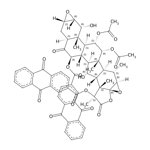 CC(=O)O[C@H]1[C@H]2[C@H]([C@@H]3[C@@H](O)[C@@H]4[C@H]([C@H](C)[C@H]5O[C@]56OC(=O)[C@@](C)(OC(=O)c5ccc7c(c5)C(=O)c5ccccc5C7=O)[C@]46C)[C@@]3(C)[C@H]1OC(C)=O)[C@@H](OC(=O)c1ccc3c(c1)C(=O)c1ccccc1C3=O)C(=O)[C@H]1C[C@@H]3O[C@@H]3[C@H](O)[C@]21C